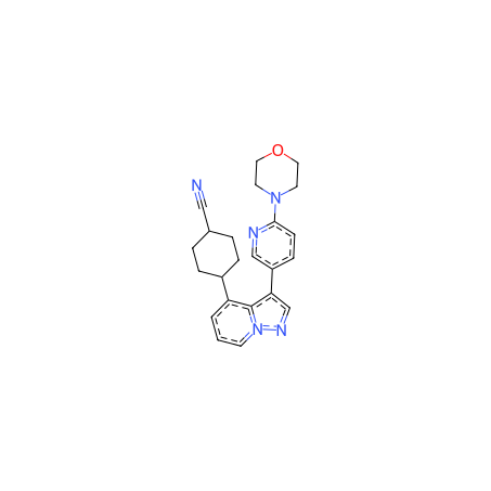 N#CC1CCC(c2cccn3ncc(-c4ccc(N5CCOCC5)nc4)c23)CC1